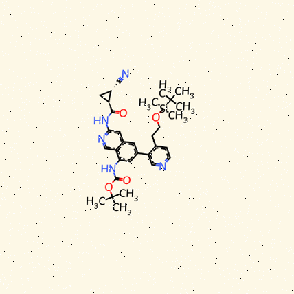 CC(C)(C)OC(=O)Nc1cc(-c2cnccc2CCO[Si](C)(C)C(C)(C)C)cc2cc(NC(=O)[C@H]3C[C@@H]3C#N)ncc12